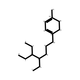 CCC(CC)C(CC)CCCC1=CC=C(C)CC1